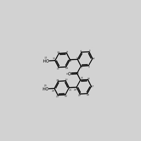 O=C(c1ccccc1-c1ccc(O)cc1)c1ccccc1-c1ccc(O)cc1